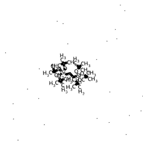 CC(C)(C)O[Si](CCC[Si](OC(C)(C)C)(OC(C)(C)C)OC(C)(C)C)(OC(C)(C)C)OC(C)(C)C